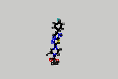 C[C@@H]1CN(c2nn3cc(-c4ccc(F)cc4)nc3s2)CCN1C(=O)OC(C)(C)C